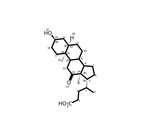 CC(CCC(=O)O)[C@H]1CCC2C3CC[C@@H]4C[C@H](O)CC[C@]4(C)C3CC(=O)[C@@]21C